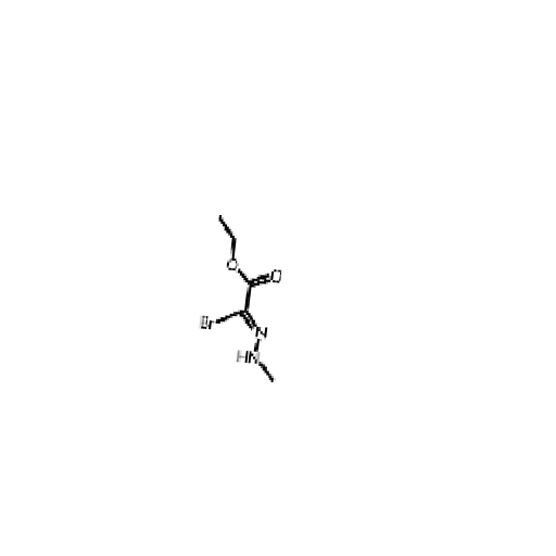 CCOC(=O)C(Br)=NNC